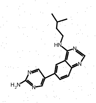 CC(C)CCNc1ncnc2ccc(-c3cnc(N)nc3)cc12